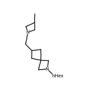 CCCCCCN1CC2(CC(CN3CC(C)C3)C2)C1